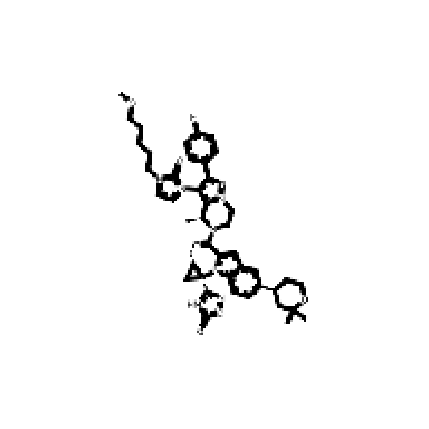 COCCCCCn1ccn(-c2c(-c3ccc(F)cc3)nn3c2[C@H](C)N(C(=O)c2cc4cc([C@H]5CCOC(C)(C)C5)ccc4n2[C@@]2(c4noc(=O)[nH]4)C[C@@H]2C)CC3)c1=O